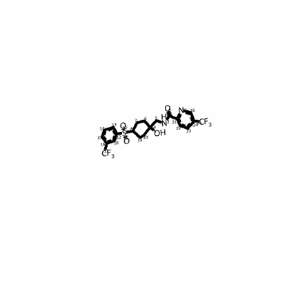 O=C(NCC1(O)CCC(S(=O)(=O)c2cccc(C(F)(F)F)c2)CC1)c1ccc(C(F)(F)F)cn1